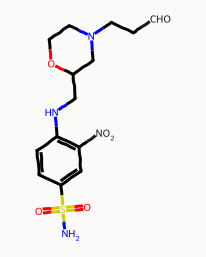 NS(=O)(=O)c1ccc(NCC2CN(CCC=O)CCO2)c([N+](=O)[O-])c1